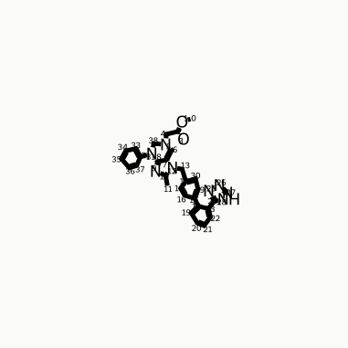 COC(=O)CN1C=C2C(=NC(C)N2Cc2ccc(-c3ccccc3-c3nnn[nH]3)cc2)N(c2ccccc2)C1